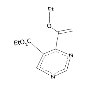 C=C(OCC)c1ncncc1C(=O)OCC